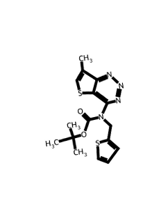 Cc1csc2c(N(Cc3cccs3)C(=O)OC(C)(C)C)nnnc12